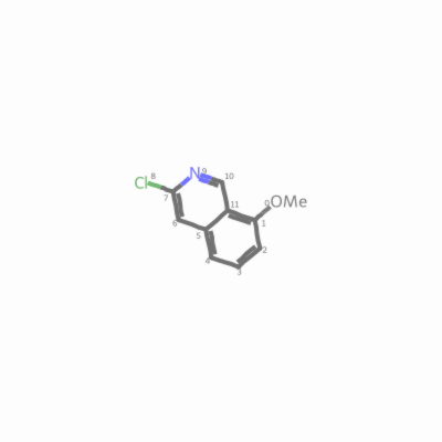 COc1cccc2cc(Cl)ncc12